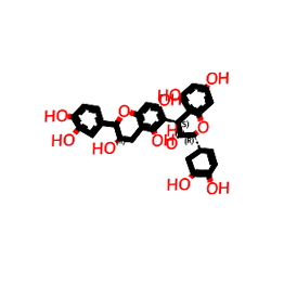 OC1=C(O)CC([C@H]2Oc3cc(O)cc(O)c3[C@H](c3c(O)cc4c(c3O)C[C@@H](O)C(c3ccc(O)c(O)c3)O4)[C@H]2O)C=C1